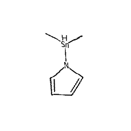 [CH3][SnH]([CH3])[n]1cccc1